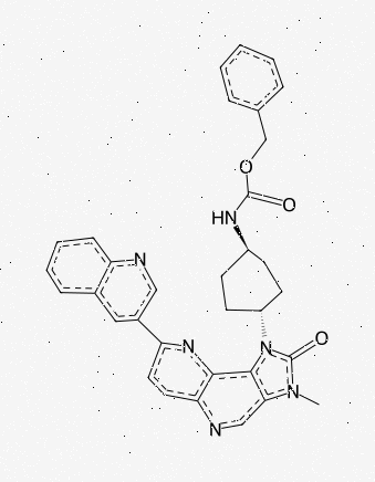 Cn1c(=O)n([C@H]2CC[C@H](NC(=O)OCc3ccccc3)CC2)c2c3nc(-c4cnc5ccccc5c4)ccc3ncc21